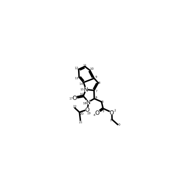 CCOC(=O)CC1c2cc3ccccc3n2C(=O)N1OC(C)C